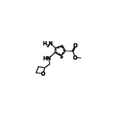 COC(=O)c1cc(N)c(NCC2CCO2)s1